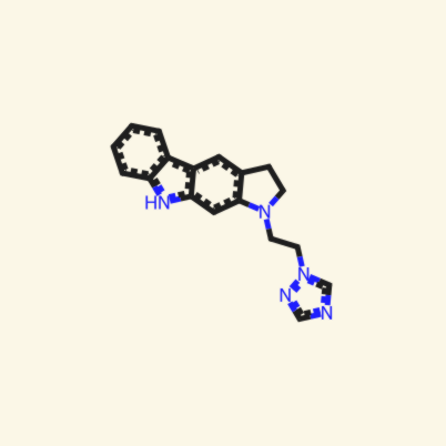 c1ccc2c(c1)[nH]c1cc3c(cc12)CCN3CCn1cncn1